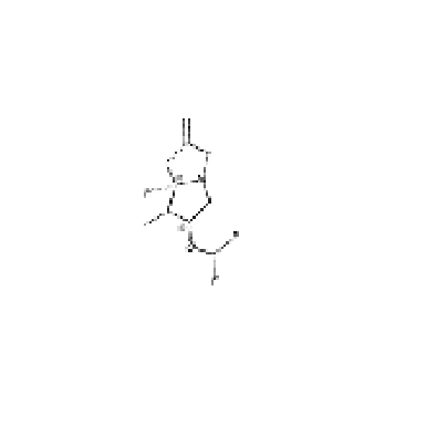 C=C1C[C@@H]2C(C)[C@H](OC(F)F)CN2C1